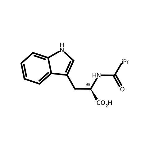 CC(C)C(=O)N[C@H](Cc1c[nH]c2ccccc12)C(=O)O